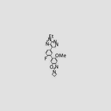 CCn1cnc2c(-c3ccc(F)c(-c4cc5oc(N6CCC6)nc5cc4OC)c3)cnnc21